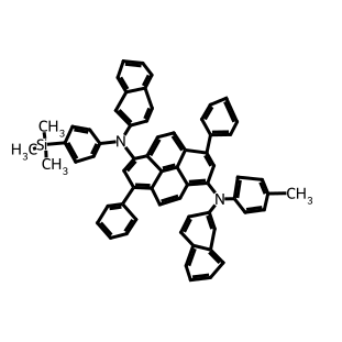 Cc1ccc(N(c2ccc3ccccc3c2)c2cc(-c3ccccc3)c3ccc4c(N(c5ccc([Si](C)(C)C)cc5)c5ccc6ccccc6c5)cc(-c5ccccc5)c5ccc2c3c54)cc1